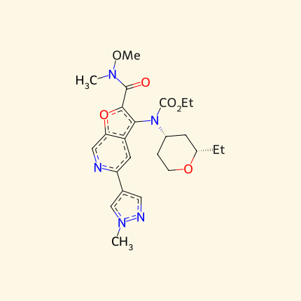 CCOC(=O)N(c1c(C(=O)N(C)OC)oc2cnc(-c3cnn(C)c3)cc12)[C@H]1CCO[C@@H](CC)C1